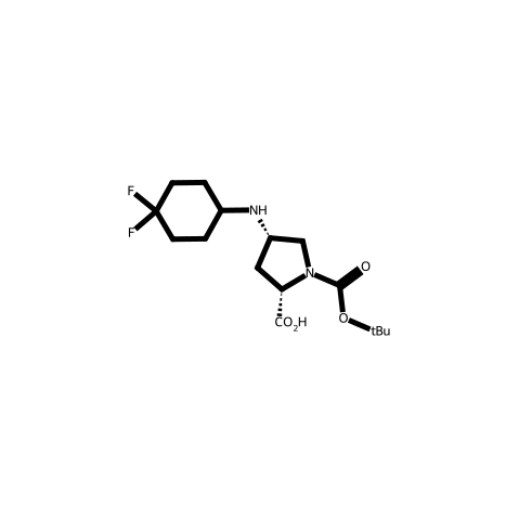 CC(C)(C)OC(=O)N1C[C@@H](NC2CCC(F)(F)CC2)C[C@H]1C(=O)O